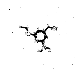 CCOc1cc(CBr)cc(N(C)C)n1